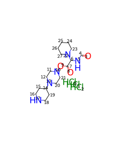 Cl.Cl.Cl.O=CNC(C(=O)ON1CCN(C2CCNCC2)CC1)N1CCCCC1